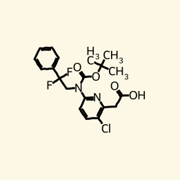 CC(C)(C)OC(=O)N(CC(F)(F)c1ccccc1)c1ccc(Cl)c(CC(=O)O)n1